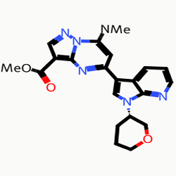 CNc1cc(-c2cn([C@H]3CCCOC3)c3ncccc23)nc2c(C(=O)OC)cnn12